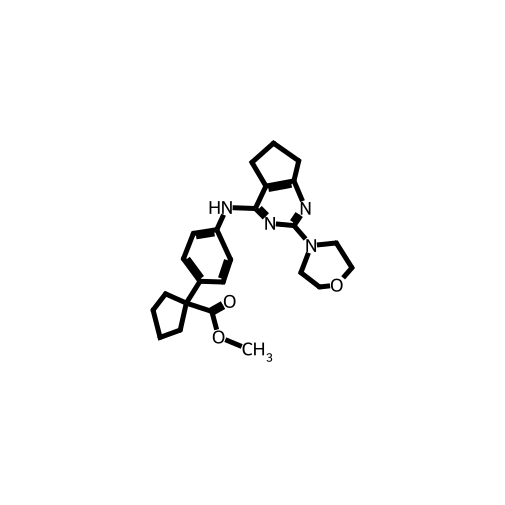 COC(=O)C1(c2ccc(Nc3nc(N4CCOCC4)nc4c3CCC4)cc2)CCCC1